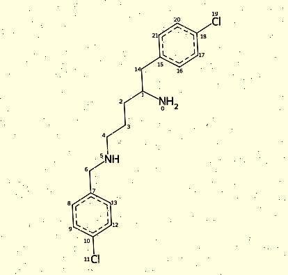 NC(CCCNCc1ccc(Cl)cc1)Cc1ccc(Cl)cc1